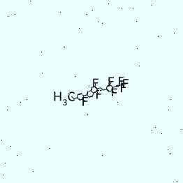 CCc1ccc(-c2ccc3c(F)c(CCc4cc(F)c(C#CC(F)(F)F)c(F)c4)c(F)cc3c2)c(F)c1